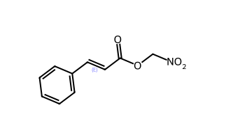 O=C(/C=C/c1ccccc1)OC[N+](=O)[O-]